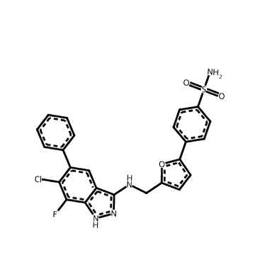 NS(=O)(=O)c1ccc(-c2ccc(CNc3n[nH]c4c(F)c(Cl)c(-c5ccccc5)cc34)o2)cc1